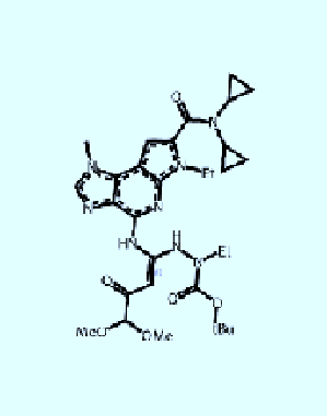 CCN(N/C(=C/C(=O)C(OC)OC)Nc1nc2c(cc(C(=O)N(C3CC3)C3CC3)n2CC)c2c1ncn2C)C(=O)OC(C)(C)C